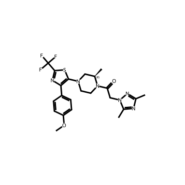 COc1ccc(-c2nc(C(F)(F)F)sc2N2CCN(C(=O)Cn3nc(C)nc3C)[C@H](C)C2)cc1